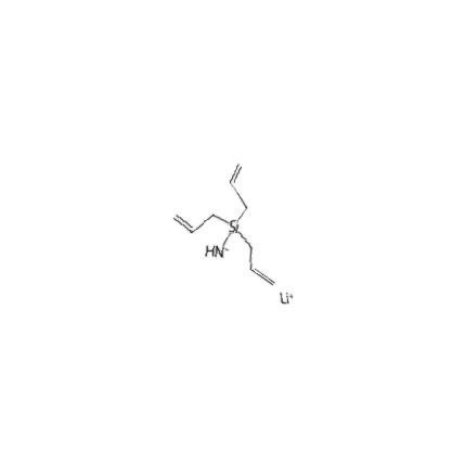 C=CC[Si]([NH-])(CC=C)CC=C.[Li+]